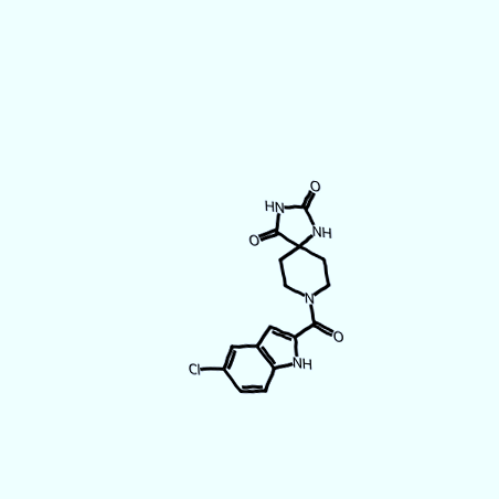 O=C1NC(=O)C2(CCN(C(=O)c3cc4cc(Cl)ccc4[nH]3)CC2)N1